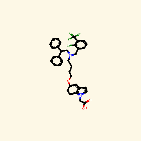 O=C(O)Cn1ccc2cc(OCCCCN(Cc3cccc(C(F)(F)F)c3Cl)CC(c3ccccc3)c3ccccc3)ccc21